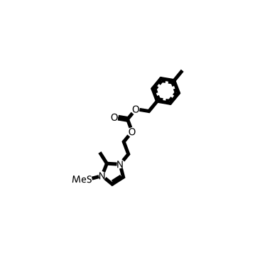 CSN1C=CN(CCOC(=O)OCc2ccc(C)cc2)C1C